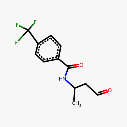 CC(CC=O)NC(=O)c1ccc(C(F)(F)F)cc1